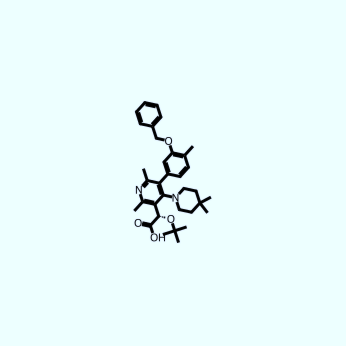 Cc1ccc(-c2c(C)nc(C)c([C@H](OC(C)(C)C)C(=O)O)c2N2CCC(C)(C)CC2)cc1OCc1ccccc1